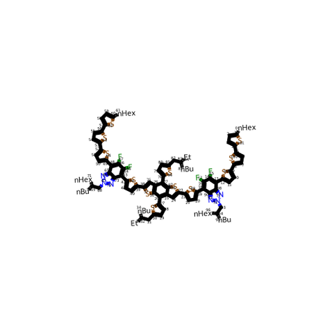 CCCCCCc1ccc(-c2ccc(-c3ccc(-c4c(F)c(F)c(-c5ccc(-c6cc7c(-c8ccc(CC(CC)CCCC)s8)c8sc(-c9ccc(-c%10c(F)c(F)c(-c%11ccc(-c%12ccc(-c%13ccc(CCCCCC)s%13)s%12)s%11)c%11nn(CC(CCCC)CCCCCC)nc%10%11)s9)cc8c(-c8ccc(CC(CC)CCCC)s8)c7s6)s5)c5nn(CC(CCCC)CCCCCC)nc45)s3)s2)s1